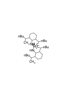 CCCCC(C)C1CCCC(C(C)CCCC)C1NCNC1C(C(C)CCCC)CCCC1C(C)CCCC